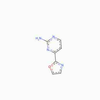 Nc1nccc(-c2ncco2)n1